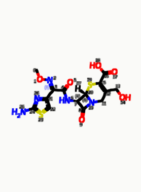 CO/N=C(/C(=O)N[C@@H]1C(=O)N2CC(CO)=C(C(=O)O)S[C@@H]12)c1csc(N)n1